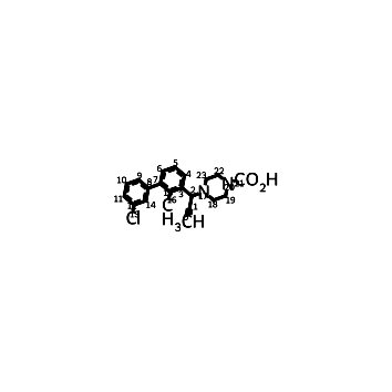 C#CC(c1cccc(-c2cccc(Cl)c2)c1C)N1CCN(C(=O)O)CC1